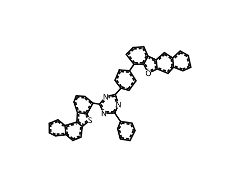 c1ccc(-c2nc(-c3ccc(-c4cccc5c4oc4cc6ccccc6cc45)cc3)nc(-c3cccc4c3sc3ccc5ccccc5c34)n2)cc1